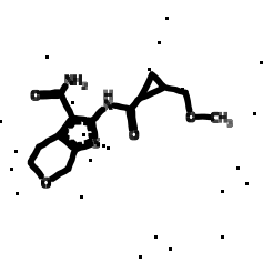 COCC1CC1C(=O)Nc1sc2c(c1C(N)=O)CCOC2